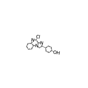 Oc1ccc(-c2cn3c(n2)c(Cl)nc2ccccc23)cc1